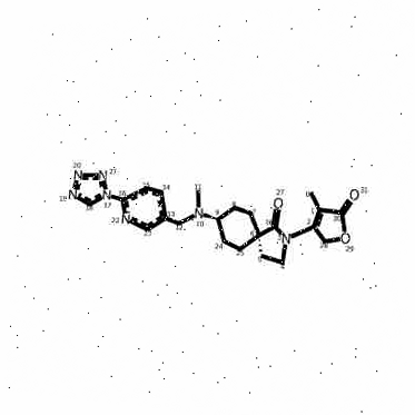 CC1=C(N2CC[C@]3(CC[C@H](N(C)Cc4ccc(-n5cnnn5)nc4)CC3)C2=O)COC1=O